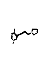 CC1=C(CCN2CCCC2)CN(C)C=N1